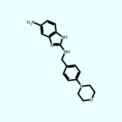 Nc1ccc2[nH]c(NCc3ccc(N4CCOCC4)cc3)nc2c1